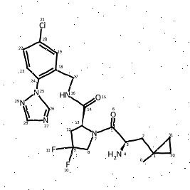 CC1(C[C@@H](N)C(=O)N2CC(F)(F)C[C@H]2C(=O)NCc2cc(Cl)ccc2-n2cncn2)CC1